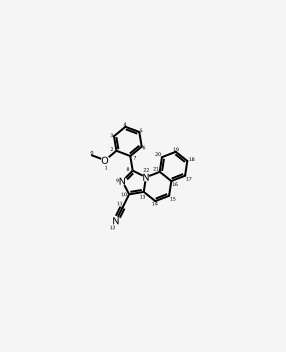 COc1ccccc1-c1nc(C#N)c2ccc3ccccc3n12